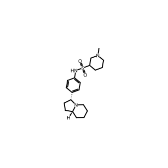 CN1CCCC(S(=O)(=O)Nc2ccc([C@H]3CC[C@H]4CCCCN43)cc2)C1